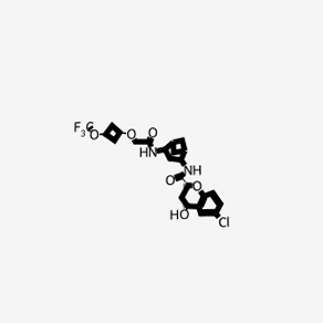 O=C(CO[C@H]1C[C@@H](OC(F)(F)F)C1)NC1CC(NC(=O)[C@H]2C[C@@H](O)c3cc(Cl)ccc3O2)C2CC1C2